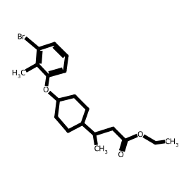 CCOC(=O)CC(C)C1CCC(Oc2cccc(Br)c2C)CC1